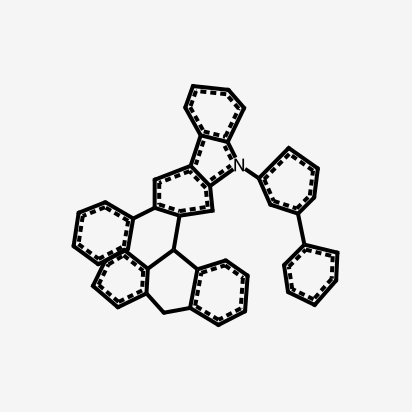 c1ccc(-c2cccc(-n3c4ccccc4c4cc(-c5ccccc5)c(C5c6ccccc6Cc6ccccc65)cc43)c2)cc1